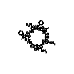 CC(C)C[C@@H]1NC[C@@](C=O)(Cc2ccccc2)NC(=O)[C@H](CCN)NC(=O)[C@@H](NC(=O)[C@H](C)c2ccccc2)CCNC(=O)[C@H]([C@@H](C)O)NC(=O)[C@H](CCN)NC(=O)[C@H](CCN)NC1=O